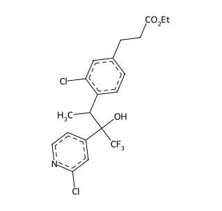 CCOC(=O)CCc1ccc(C(C)C(O)(c2ccnc(Cl)c2)C(F)(F)F)c(Cl)c1